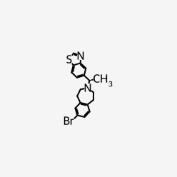 C[C@H](c1ccc2scnc2c1)N1CCc2ccc(Br)cc2CC1